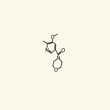 COc1cc(C(=O)N2CCOCC2)cnc1C